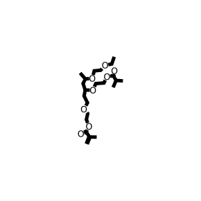 C=C(C)C(=O)OCCOCCC(CC(C)OCCOCC)OCCOC(=O)C(C)C